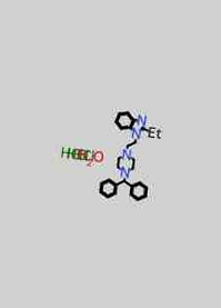 CCc1nc2ccccc2n1CCN1CCN(C(c2ccccc2)c2ccccc2)CC1.Cl.Cl.Cl.O